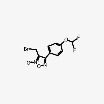 [O-][n+]1onc(-c2ccc(OC(F)F)cc2)c1CBr